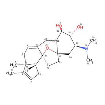 CC1=CC[C@@H]2[C@]1(C)CC=C1C=C3[C@@H](O)[C@H](O)[C@@H](N(C)C)C[C@]34CC[C@@]12O4